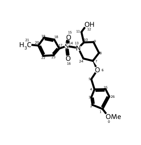 COc1ccc(CO[C@@H]2CCC(CO)N(S(=O)(=O)c3ccc(C)cc3)C2)cc1